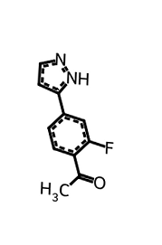 CC(=O)c1ccc(-c2ccn[nH]2)cc1F